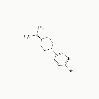 CN(C)[C@H]1CC[C@H](c2ccc(N)nc2)CC1